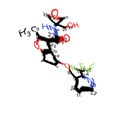 Cc1oc2ccc(OCc3cccnc3C(F)(F)F)cc2c1C(=O)NC1(CO)COC1